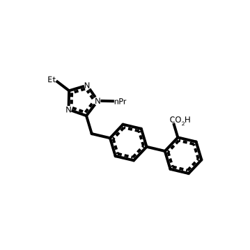 CCCn1nc(CC)nc1Cc1ccc(-c2ccccc2C(=O)O)cc1